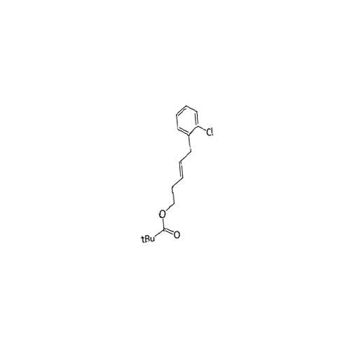 CC(C)(C)C(=O)OCCC=CCc1ccccc1Cl